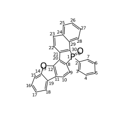 O=P1(c2ccccc2)c2ccc3c(oc4ccccc43)c2-c2ccc3ccccc3c21